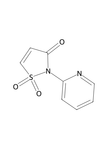 O=C1C=CS(=O)(=O)N1c1ccccn1